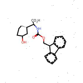 O=C(N[C@H](C(=O)O)[C@H]1CCCC(O)C1)OCC1c2ccccc2-c2ccccc21